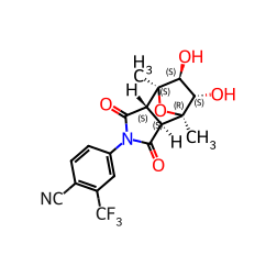 C[C@]12O[C@](C)([C@@H](O)[C@@H]1O)[C@H]1C(=O)N(c3ccc(C#N)c(C(F)(F)F)c3)C(=O)[C@@H]12